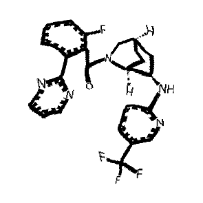 O=C(c1c(F)cccc1-c1ncccn1)N1C[C@H]2C[C@@H](Nc3ccc(C(F)(F)F)cn3)[C@@H]1C2